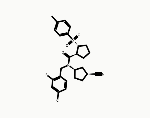 Cc1ccc(S(=O)(=O)[C@@H]2CCC[C@H]2C(=O)N(Cc2ccc(Cl)cc2F)[C@@H]2CC[C@H](C#N)C2)cc1